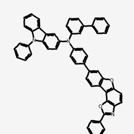 c1ccc(-c2cccc(N(c3ccc(-c4ccc5c(c4)oc4ccc6nc(-c7ccccc7)oc6c45)cc3)c3ccc4c(c3)c3ccccc3n4-c3ccccc3)c2)cc1